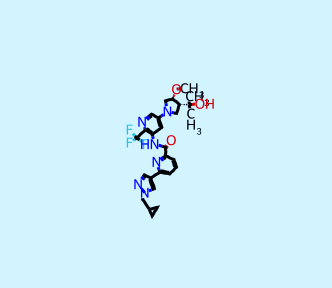 CO[C@@H]1CN(c2cnc(C(F)(F)F)c(NC(=O)c3cccc(-c4cnn(CC5CC5)c4)n3)c2)C[C@H]1C(C)(C)O